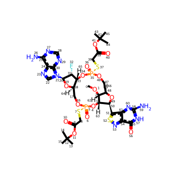 CO[C@H]1[C@H]2O[P@](=O)(SCC(=O)OC(C)(C)C)OC[C@H]3O[C@@H](n4cnc5c(N)ncnc54)[C@H](F)[C@@H]3O[P@](=O)(SCC(=O)OC(C)(C)C)OC[C@H]1O[C@H]2c1snc2c(=O)[nH]c(N)nc12